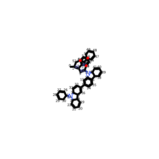 C\C1=C(c2ccccc2)/C=C(N2c3cc(C4=CC5C6C=CC=CC6N(C6C=CC=CC6)C5C=C4)ccc3C3C=CC=CC32)\C=C(\C2C=CC=CC2)CC1